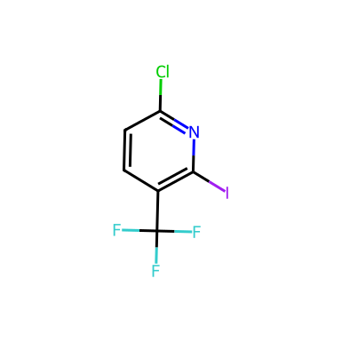 FC(F)(F)c1ccc(Cl)nc1I